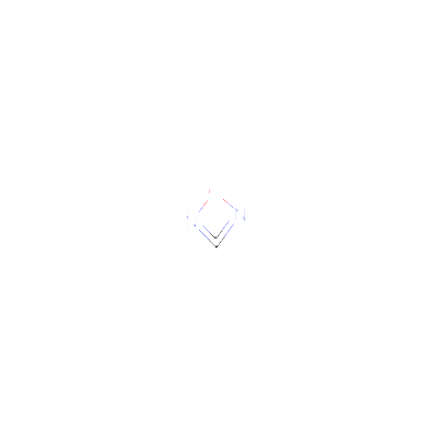 C1=NON=1